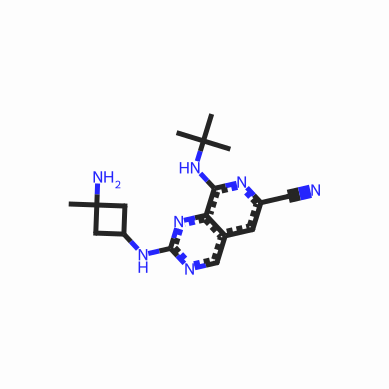 CC1(N)CC(Nc2ncc3cc(C#N)nc(NC(C)(C)C)c3n2)C1